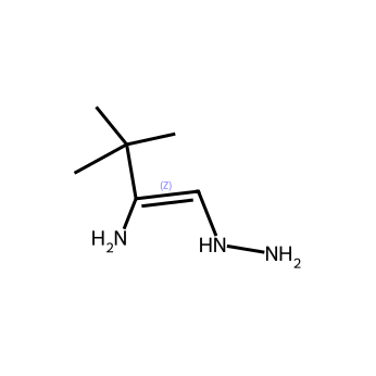 CC(C)(C)/C(N)=C/NN